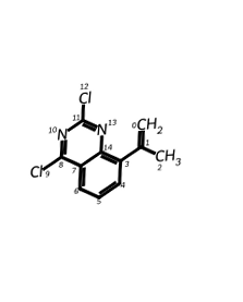 C=C(C)c1cccc2c(Cl)nc(Cl)nc12